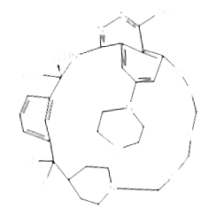 Cc1nnc2c3cc(N4CCOCC4)cc(c13)OCCCCCCN1CCC(CC1)C(F)(F)c1cccc(c1)[C@H](C)N2